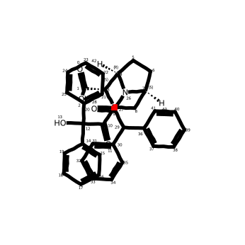 O=C(O)[C@@H]1[C@H]2CC[C@@H](CN1C(=O)C(O)(c1ccccc1)c1ccccc1)N2C(=O)C(c1ccccc1)c1ccccc1